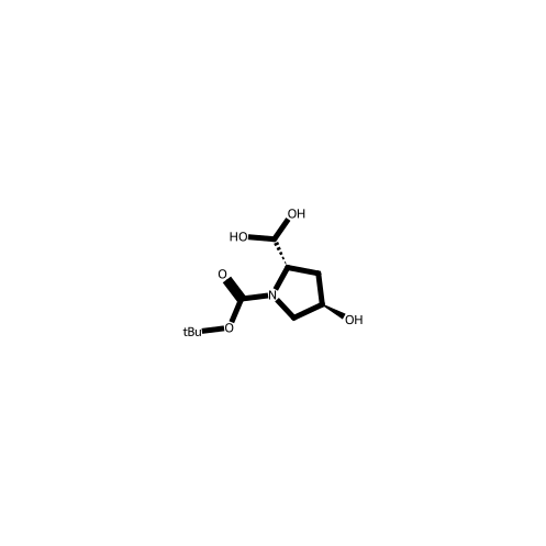 CC(C)(C)OC(=O)N1C[C@H](O)C[C@H]1C(O)O